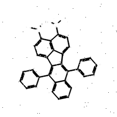 OB(O)c1ccc2c3c(ccc(B(O)O)c13)-c1c-2c(-c2ccccc2)c2ccccc2c1-c1ccccc1